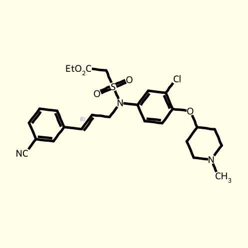 CCOC(=O)CS(=O)(=O)N(C/C=C/c1cccc(C#N)c1)c1ccc(OC2CCN(C)CC2)c(Cl)c1